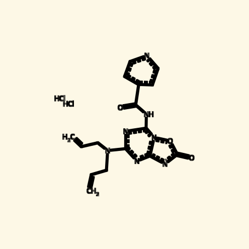 C=CCN(CC=C)c1nc(NC(=O)c2ccncc2)n2oc(=O)nc2n1.Cl.Cl